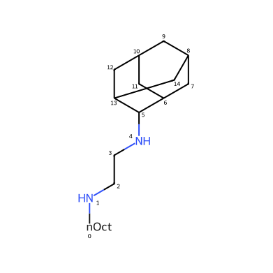 CCCCCCCCNCCNC1C2CC3CC(C2)CC1C3